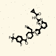 N#CCC1(n2cc(-c3cccc4nc(NC(=O)C5CC5)nn34)cn2)CCN(C(=O)c2ccc(C(F)(F)F)cc2F)CC1